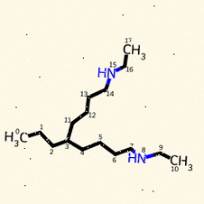 CCCC(CCCCNCC)CCCCNCC